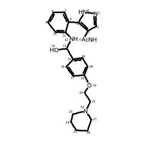 CC(=O)Nc1cn[nH]c1-c1ccccc1NC(O)c1ccc(OCCN2CCCCC2)cc1